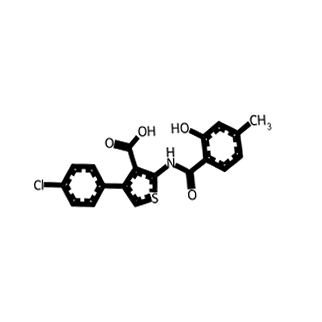 Cc1ccc(C(=O)Nc2scc(-c3ccc(Cl)cc3)c2C(=O)O)c(O)c1